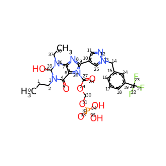 CCCN1C(=O)c2c(nc(-c3cnn(Cc4cccc(C(F)(F)F)c4)c3)n2C(=O)OCOP(=O)(O)O)N(CC)C1O